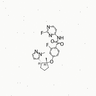 Cn1nccc1[C@H]1CCC[C@@]1(C)Oc1ccc(S(=O)(=O)Nc2ccnc(F)n2)c(F)c1